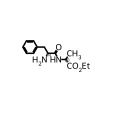 CCOC(=O)[C@H](C)NC(=O)[C@@H](N)Cc1ccccc1